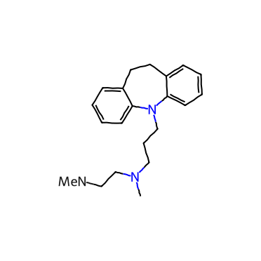 CNCCN(C)CCCN1c2ccccc2CCc2ccccc21